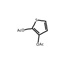 CC(=O)Oc1ccsc1OC(C)=O